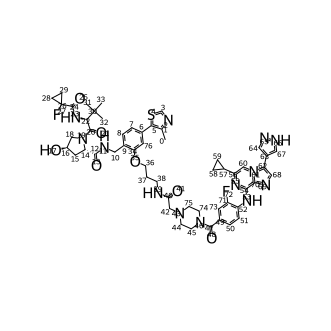 Cc1ncsc1-c1ccc(CNC(=O)[C@@H]2C[C@@H](O)CN2C(=O)[C@@H](NC(=O)C2(F)CC2)C(C)(C)C)c(OCCCNC(=O)CN2CCN(C(=O)c3ccc(Nc4nc(C5CC5)cn5c(-c6cn[nH]c6)cnc45)c(F)c3)CC2)c1